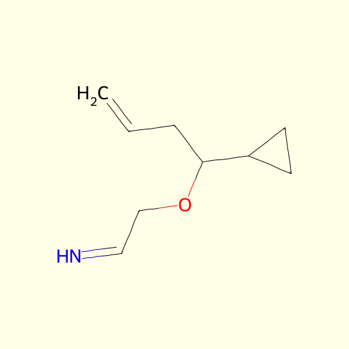 C=CCC(OCC=N)C1CC1